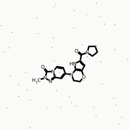 Cn1nc2cc(N3CCOc4cc(C(=O)N5CCCC5)[nH]c43)ccn2c1=O